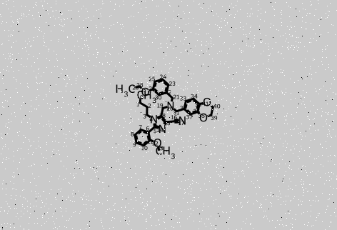 CCCCn1c(-c2ccccc2OC)nc(C#N)c1CN(Cc1cccc(OCC)c1)Cc1ccc2c(c1)OCCO2